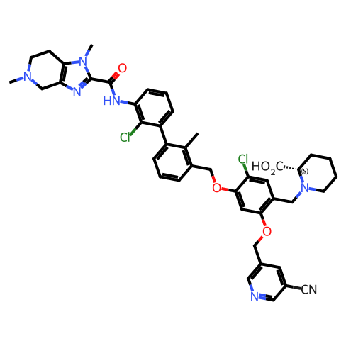 Cc1c(COc2cc(OCc3cncc(C#N)c3)c(CN3CCCC[C@H]3C(=O)O)cc2Cl)cccc1-c1cccc(NC(=O)c2nc3c(n2C)CCN(C)C3)c1Cl